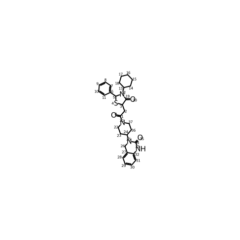 O=C(CC1SC(c2ccccc2)N(C2CCCCC2)C1=O)N1CCC(N2Cc3ccccc3NC2=O)CC1